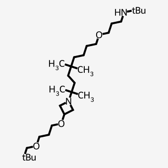 CC(C)(C)COCCCOC1CN(C(C)(C)CCC(C)(C)CCCCOCCCNC(C)(C)C)C1